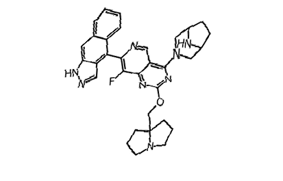 Fc1c(-c2c3ccccc3cc3[nH]ncc23)ncc2c(N3CC4CCC(C3)N4)nc(OCC34CCCN3CCC4)nc12